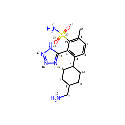 Cc1ccc(C2CCC(CN)CC2)c(-c2nnn[nH]2)c1S(N)(=O)=O